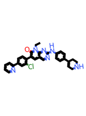 CCn1c(=O)c(-c2ccc(-c3ccccn3)cc2Cl)cc2cnc(Nc3ccc(C4=CCNCC4)cc3)nc21